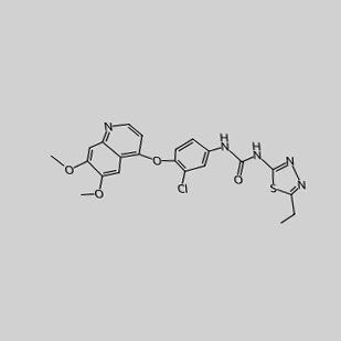 CCc1nnc(NC(=O)Nc2ccc(Oc3ccnc4cc(OC)c(OC)cc34)c(Cl)c2)s1